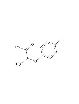 CCC(=O)C(C)Oc1ccc(Cl)cc1